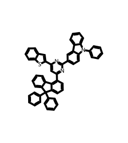 c1ccc(-n2c3ccccc3c3cc(-c4nc(-c5cc6ccccc6s5)cc(-c5cccc6c5-c5ccccc5C6(c5ccccc5)c5ccccc5)n4)ccc32)cc1